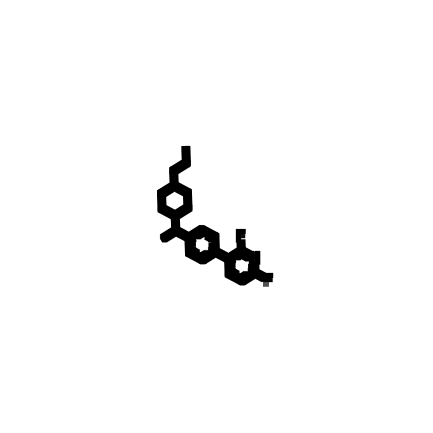 CCCC1CCC(C(C)c2ccc(-c3ccc(F)nc3F)cc2)CC1